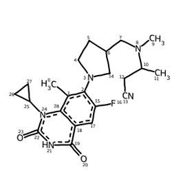 Cc1c(N2CCC(CN(C)C(C)CC#N)C2)c(F)cc2c(=O)[nH]c(=O)n(C3CC3)c12